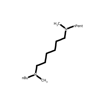 CCCCCN(C)CCCCCCN(C)CCCC